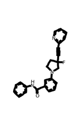 O=C(Nc1ccccc1)c1cccc(N2CCC(F)(C#Cc3ccccn3)C2)c1